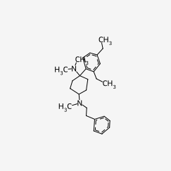 CCc1ccc(C2(N(C)C)CCC(N(C)CCc3ccccc3)CC2)c(CC)c1